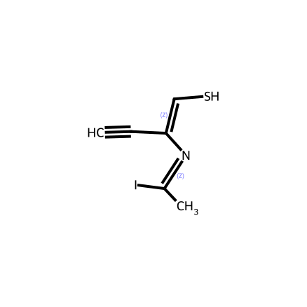 C#CC(=C/S)/N=C(/C)I